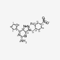 Nc1nc(-c2ccco2)c2nnn(Cc3ccc([N+](=O)[O-])cc3F)c2n1